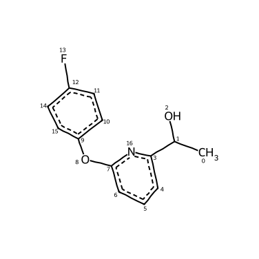 CC(O)c1cccc(Oc2ccc(F)cc2)n1